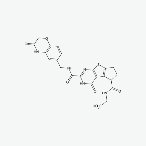 O=C(O)CNC(=O)C1CCc2sc3nc(C(=O)NCc4ccc5c(c4)NC(=O)CO5)[nH]c(=O)c3c21